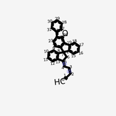 C#C/C=C\C=C1/CC2(c3ccccc31)c1ccccc1-c1c2ccc2c1oc1ccccc12